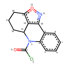 O=C(Cl)N1c2ccccc2-c2noc3c2C1CCC3